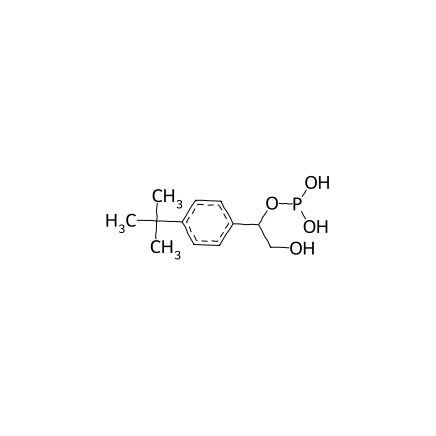 CC(C)(C)c1ccc(C(CO)OP(O)O)cc1